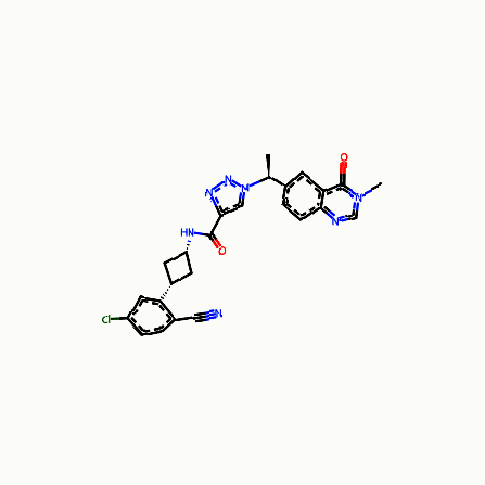 C[C@@H](c1ccc2ncn(C)c(=O)c2c1)n1cc(C(=O)N[C@H]2C[C@@H](c3cc(Cl)ccc3C#N)C2)nn1